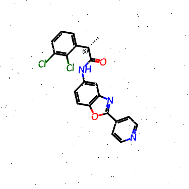 C[C@H](C(=O)Nc1ccc2oc(-c3ccncc3)nc2c1)c1cccc(Cl)c1Cl